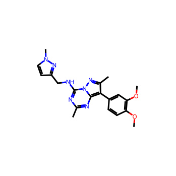 COc1ccc(-c2c(C)nn3c(NCc4ccn(C)n4)nc(C)nc23)cc1OC